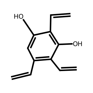 C=Cc1cc(O)c(C=C)c(O)c1C=C